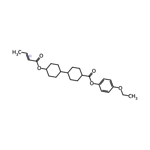 C/C=C/C(=O)OC1CCC(C2CCC(C(=O)Oc3ccc(OCC)cc3)CC2)CC1